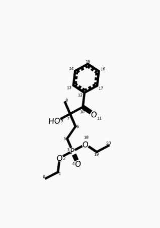 CCOP(=O)(CCC(C)(O)C(=O)c1ccccc1)OCC